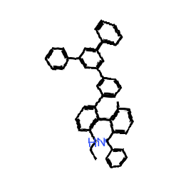 CCCc1cccc(-c2cccc(-c3cc(-c4ccccc4)cc(-c4ccccc4)c3)c2)c1-c1c(C)cccc1C(=N)c1ccccc1